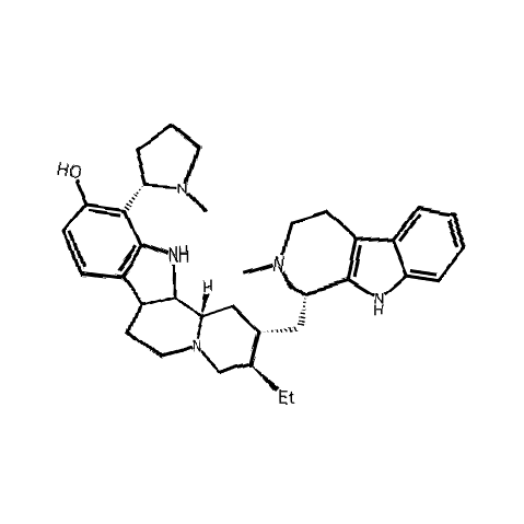 CC[C@H]1CN2CCC3c4ccc(O)c([C@@H]5CCCN5C)c4NC3[C@@H]2C[C@@H]1C[C@H]1c2[nH]c3ccccc3c2CCN1C